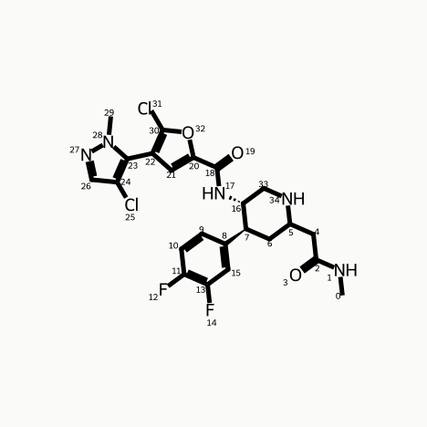 CNC(=O)CC1C[C@@H](c2ccc(F)c(F)c2)[C@H](NC(=O)c2cc(-c3c(Cl)cnn3C)c(Cl)o2)CN1